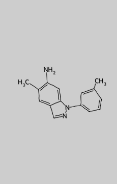 Cc1cccc(-n2ncc3cc(C)c(N)cc32)c1